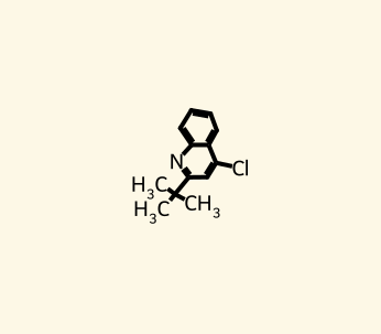 CC(C)(C)c1cc(Cl)c2ccccc2n1